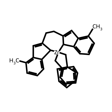 Cc1cccc2c1C=C1CCC3=Cc4c(C)cccc4[CH]3[Zr]([CH2]c3ccccc3)([CH2]c3ccccc3)[CH]12